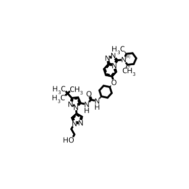 C[C@@H]1CCC[C@H](C)N1c1nnc2ccc(O[C@H]3CC[C@H](NC(=O)Nc4cc(C(C)(C)C)nn4-c4cnn(CCO)c4)CC3)cn12